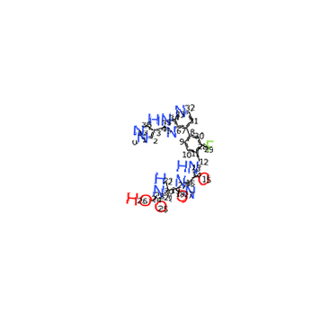 Cn1cc(-c2nc3c(-c4ccc(CNC(=O)c5noc(C(C)(C)NC(=O)O)n5)c(F)c4)ccnc3[nH]2)cn1